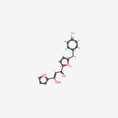 O=C(C=C(O)c1ccco1)c1ccc(Cc2ccc(F)cc2)o1